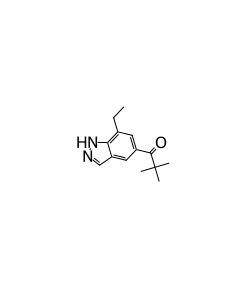 CCc1cc(C(=O)C(C)(C)C)cc2cn[nH]c12